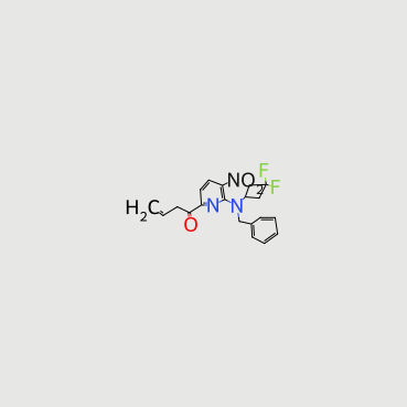 C=CCC(=O)c1ccc([N+](=O)[O-])c(N(Cc2ccccc2)C2CC(F)(F)C2)n1